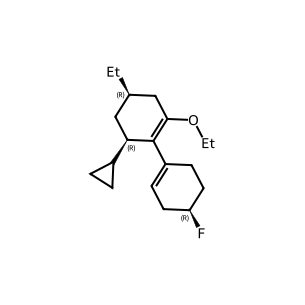 CCOC1=C(C2=CC[C@H](F)CC2)[C@@H](C2CC2)C[C@@H](CC)C1